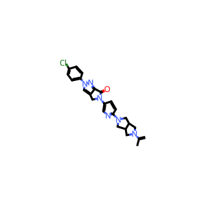 C=C(C)N1CC2CN(c3ccc(N4Cc5cn(-c6ccc(Cl)cc6)nc5C4=O)cn3)CC2C1